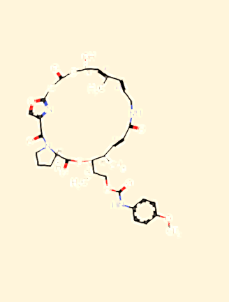 CC1=C\[C@@H](O)CC(=O)Cc2nc(co2)C(=O)N2CCC[C@@H]2C(=O)O[C@H]([C@@H](C)COC(=O)Nc2ccc(OC(F)(F)F)cc2)[C@H](C)/C=C/C(=O)NC\C=C\1